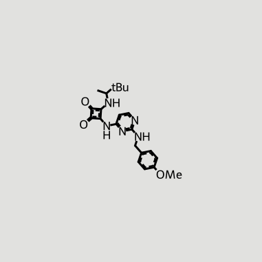 COc1ccc(CNc2nccc(Nc3c(NC(C)C(C)(C)C)c(=O)c3=O)n2)cc1